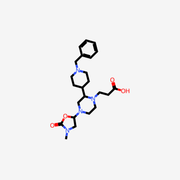 CN1CC(N2CCN(CCC(=O)O)C(C3CCN(Cc4ccccc4)CC3)C2)OC1=O